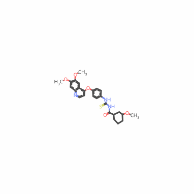 COc1cc2nccc(Oc3ccc(NC(=S)NC(=O)C4CCCC(OC)C4)cc3)c2cc1OC